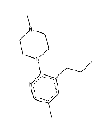 CCCc1cc(C)cnc1N1CCN(C)CC1